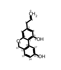 C=CCc1cc(O)c2c(c1)OCc1ccc(O)cc1-2